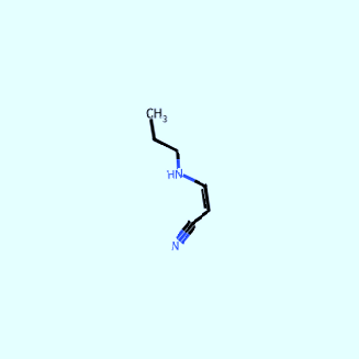 CCCN/C=C\C#N